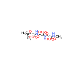 CC(=O)N[C@@H](CCC(=O)N[C@@H](CCC(=O)N[C@@H](CCC(=O)C(C)C)C(=O)O)C(=O)O)C(=O)O